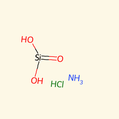 Cl.N.O=[Si](O)O